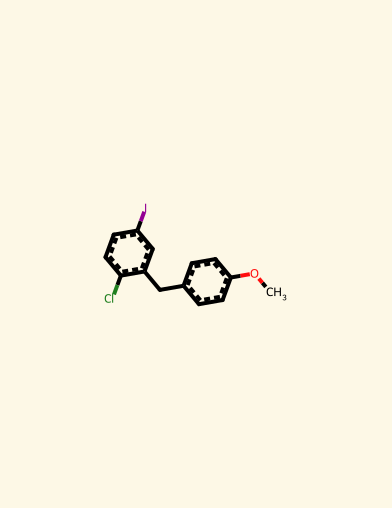 COc1ccc(Cc2cc(I)ccc2Cl)cc1